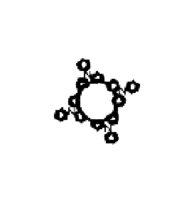 C1=CC(n2c3ccc4cc3c3cc(ccc32)c2ccc3c(c2)c2cc(ccc2n3-c2ccccc2)c2ccc3c(c2)c2cc(ccc2n3-c2ccccc2)c2ccc3c(c2)c2cc4ccc2n3C2=CCCC=C2)=CCC1